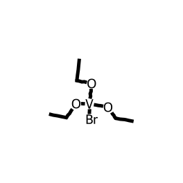 CC[O][V]([Br])([O]CC)[O]CC